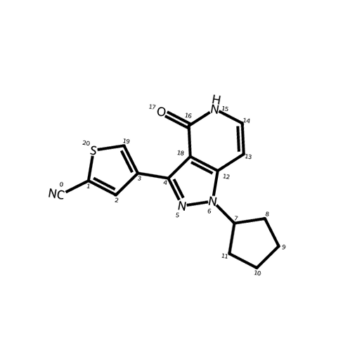 N#Cc1cc(-c2nn(C3CCCC3)c3cc[nH]c(=O)c23)cs1